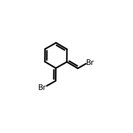 BrC=c1ccccc1=CBr